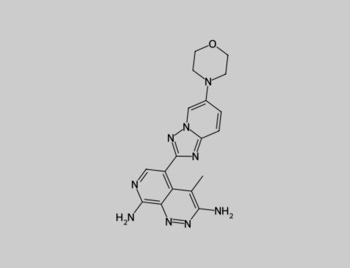 Cc1c(N)nnc2c(N)ncc(-c3nc4ccc(N5CCOCC5)cn4n3)c12